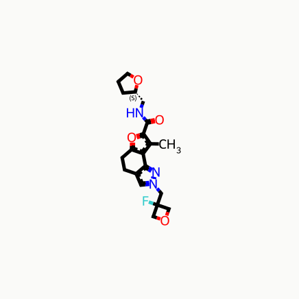 Cc1c(C(=O)NC[C@@H]2CCCO2)oc2c1-c1nn(CC3(F)COC3)cc1CC2